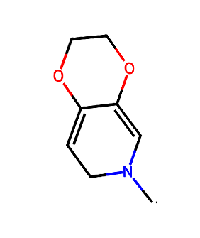 [CH2]N1C=C2OCCOC2=CC1